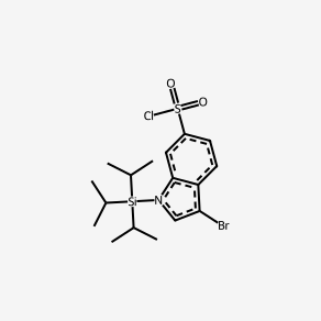 CC(C)[Si](C(C)C)(C(C)C)n1cc(Br)c2ccc(S(=O)(=O)Cl)cc21